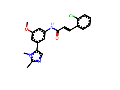 COc1cc(NC(=O)C=Cc2ccccc2Cl)cc(-c2cnc(C)n2C)c1